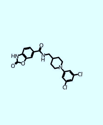 O=C(NCC1CCN(c2cc(Cl)cc(Cl)c2)CC1)c1ccc2[nH]c(=O)oc2c1